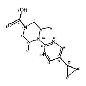 CC1CN(C(=O)O)CC(C)N1c1ncc(C2CC2)cn1